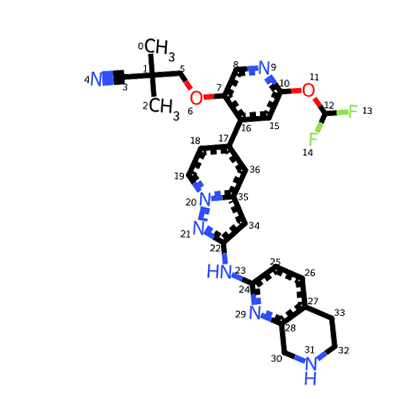 CC(C)(C#N)COc1cnc(OC(F)F)cc1-c1ccn2nc(Nc3ccc4c(n3)CNCC4)cc2c1